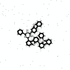 c1ccc(C2=NC(c3cccc4oc5c(-c6cccc7c8ccccc8n(-c8ccccc8)c67)cccc5c34)NC(c3ccc4c(c3)oc3ccccc34)N2)cc1